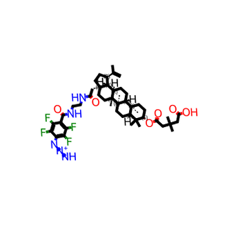 C=C(C)[C@@H]1CC[C@]2(CC(=O)NCCNC(=O)c3c(F)c(F)c(N=[N+]=N)c(F)c3F)CC[C@]3(C)[C@H](CC[C@@H]4[C@@]5(C)CC[C@H](OC(=O)CC(C)(C)CC(=O)O)C(C)(C)[C@@H]5CC[C@]43C)[C@@H]12